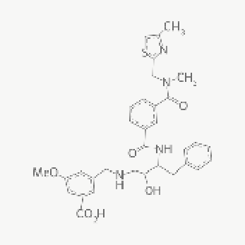 COc1cc(CNCC(O)C(Cc2ccccc2)NC(=O)c2cccc(C(=O)N(C)Cc3nc(C)cs3)c2)cc(C(=O)O)c1